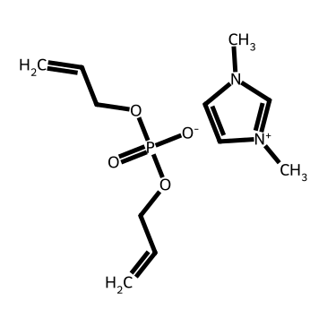 C=CCOP(=O)([O-])OCC=C.Cn1cc[n+](C)c1